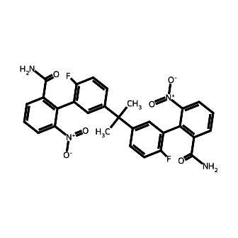 CC(C)(c1ccc(F)c(-c2c(C(N)=O)cccc2[N+](=O)[O-])c1)c1ccc(F)c(-c2c(C(N)=O)cccc2[N+](=O)[O-])c1